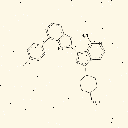 Nc1nccn2c1c(-c1cc3cccc(-c4ccc(F)cc4)c3[nH]1)nc2[C@H]1CC[C@H](C(=O)O)CC1